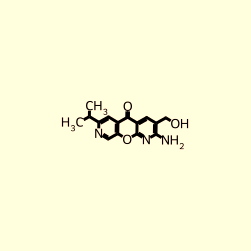 CC(C)c1cc2c(=O)c3cc(CO)c(N)nc3oc2cn1